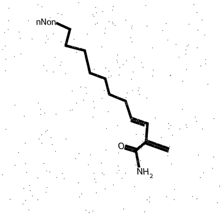 C=C(C=CCCCCCCCCCCCCCCCC)C(N)=O